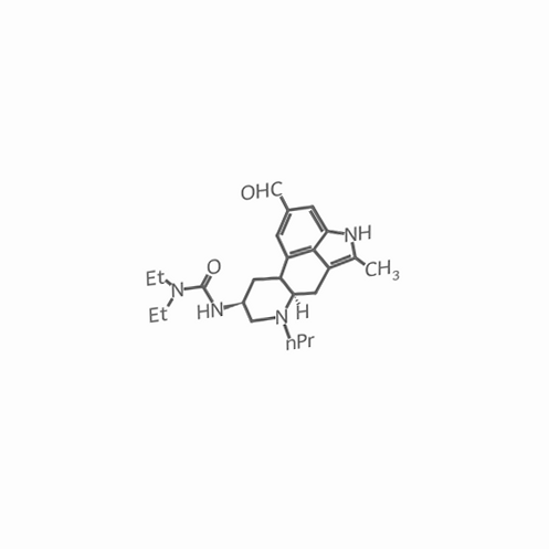 CCCN1C[C@@H](NC(=O)N(CC)CC)CC2c3cc(C=O)cc4[nH]c(C)c(c34)C[C@H]21